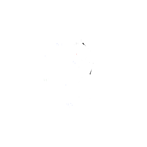 CO[C@@]1(c2ccnc(C(N)=O)c2)[C@@H]2CCC[C@H]1CN(Cc1ncc[nH]1)C2.Cl